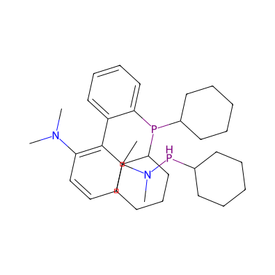 CN(C)C1=C(c2ccccc2P(C2CCCCC2)C2CCCCC2)C(C)(N(C)PC2CCCCC2)CC=C1